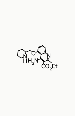 CCOC(=O)c1c(C)nc2cccc(OCC3CCCCN3)c2c1N